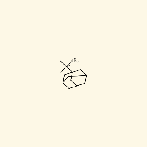 CCCC[N+](C)(C)C12CC3CC(CC(C3)C1)C2